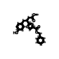 COC(=O)CC(Cc1ccc(O)cc1)c1nc(C(=O)OCc2ccccc2)co1